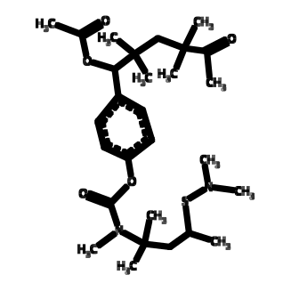 CC(=O)OC(c1ccc(OC(=O)N(C)C(C)(C)CC(C)SN(C)C)cc1)C(C)(C)CC(C)(C)C(C)=O